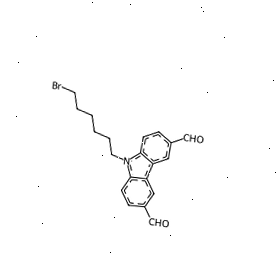 O=Cc1ccc2c(c1)c1cc(C=O)ccc1n2CCCCCCBr